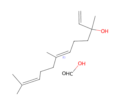 C=CC(C)(O)CC/C=C(\C)CCC=C(C)C.O=CO